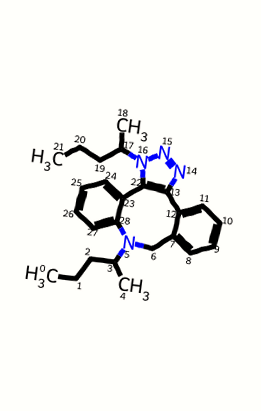 CCCC(C)N1Cc2ccccc2-c2nnn(C(C)CCC)c2-c2ccccc21